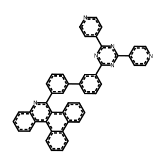 c1cc(-c2cccc(-c3nc4ccccc4c4c5ccccc5c5ccccc5c34)c2)cc(-c2nc(-c3ccncc3)nc(-c3ccncc3)n2)c1